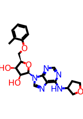 Cc1ccccc1OC[C@H]1O[C@@H](n2cnc3c(NC4CCOC4)ncnc32)[C@@H](O)[C@H]1O